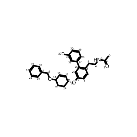 CC(=O)NCCc1ccc(O[C@H]2C=CC(OCc3ccccc3)CC2)cc1-c1cccc(F)c1